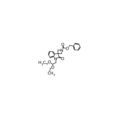 CCOC(CN1C(=O)C2(CN(C(=O)OCc3ccccc3)C2)c2ccccc21)OCC